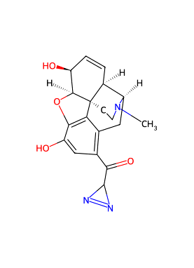 CN1CC[C@]23c4c5c(C(=O)C6N=N6)cc(O)c4O[C@H]2[C@@H](O)C=C[C@H]3[C@H]1C5